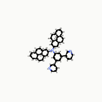 c1cncc(-c2cc(-c3cccnc3)cc(N(c3cc4ccc5cccc6ccc(c3)c4c56)c3cc4ccc5cccc6ccc(c3)c4c56)c2)c1